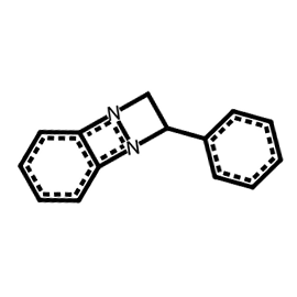 c1ccc(C2Cn3c4ccccc4n32)cc1